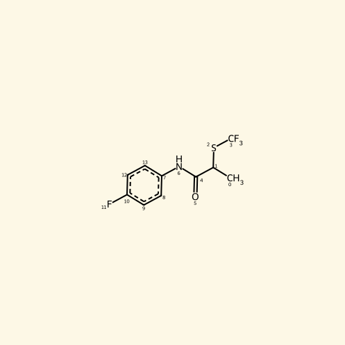 CC(SC(F)(F)F)C(=O)Nc1ccc(F)cc1